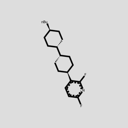 CCCC[C@H]1CC[C@H]([C@H]2CC[C@H](c3ccc(F)nc3F)CC2)CC1